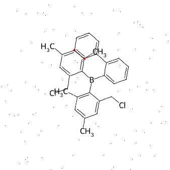 Cc1cc(C)c(B(c2ccccc2-c2ccccc2)c2c(C)cc(C)cc2CCl)c(CCl)c1